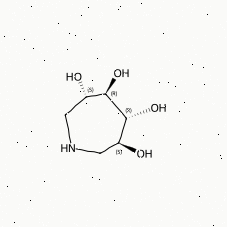 O[C@H]1[C@H](O)[C@@H](O)CNC[C@@H]1O